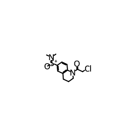 CN(C)[S+]([O-])c1ccc2c(c1)CCCN2C(=O)CCl